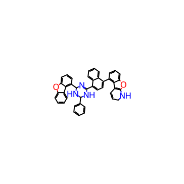 C1=Cc2c(oc3cccc(-c4ccc(C5=NC(c6cccc7oc8ccccc8c67)NC(c6ccccc6)N5)c5ccccc45)c23)NC1